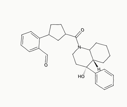 O=Cc1ccccc1C1CCC(C(=O)N2CC[C@](O)(c3ccccc3)[C@H]3CCCCC32)C1